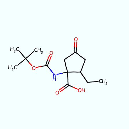 CCC1CC(=O)CC1(NC(=O)OC(C)(C)C)C(=O)O